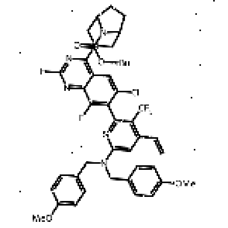 C=Cc1cc(N(Cc2ccc(OC)cc2)Cc2ccc(OC)cc2)nc(-c2c(Cl)cc3c(N4CC5CCC(C4)N5C(=O)OC(C)(C)C)nc(F)nc3c2F)c1C(F)(F)F